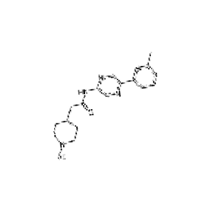 CC(=O)N1CCC(CC(=O)Nc2cnc(-c3cccc(C)c3)cn2)CC1